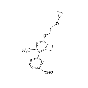 Cc1cc(OCCOC2CC2)c2c(c1-c1cccc(C=O)c1)CC2